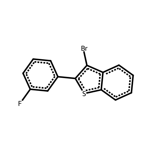 Fc1cccc(-c2sc3ccccc3c2Br)c1